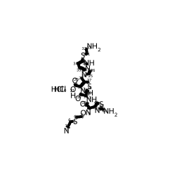 Cl.Cl.N#CCSCCO/N=C(\C(=O)N[C@@H]1C(=O)N2C(C(=O)O)=C(CN3C=CN4NC(SCCN)=CC=C34)CS[C@@H]12)c1csc(N)n1